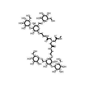 CNC(=O)CN(CC(=O)NCCO[C@@H]1O[C@H](CO[C@H]2O[C@H](CO)[C@@H](O)[C@H](O)[C@@H]2O)[C@@H](O)[C@H](O[C@H]2O[C@H](CO)[C@@H](O)[C@H](O)[C@@H]2O)[C@H]1O)CC(=O)NCCO[C@@H]1O[C@H](CO[C@H]2O[C@H](CO)[C@@H](O)[C@H](O)[C@@H]2O)[C@@H](O)[C@H](O[C@H]2O[C@H](CO)[C@@H](O)[C@H](O)[C@@H]2O)[C@H]1O